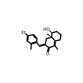 CCc1ccc(/C=C2\C[C@@]3(C)C(=C(C)C2=O)CCC[C@@H]3O)c(C)c1